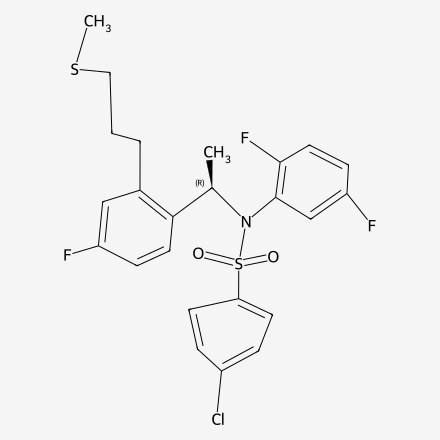 CSCCCc1cc(F)ccc1[C@@H](C)N(c1cc(F)ccc1F)S(=O)(=O)c1ccc(Cl)cc1